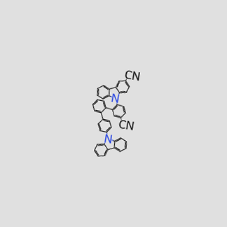 N#Cc1ccc(-n2c3ccccc3c3cc(C#N)ccc32)c(-c2ccccc2-c2ccc(-n3c4ccccc4c4ccccc43)cc2)c1